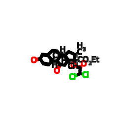 CCOC(=O)[C@@]1(OC(=O)C(Cl)Cl)[C@@H](C)C[C@H]2[C@@H]3CCC4=CC(=O)C=C[C@]4(C)[C@H]3C(=O)C[C@@]21C